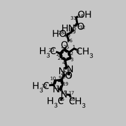 CCc1cc(-c2noc(-c3cc(C)nc(N(C)CC)c3)n2)cc(C)c1OC[C@@H](O)CNC(=O)CO